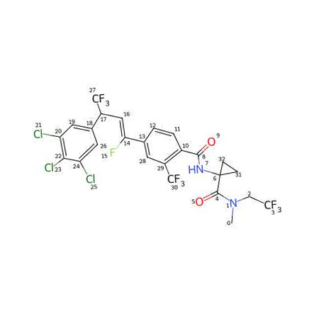 CN(CC(F)(F)F)C(=O)C1(NC(=O)c2ccc(C(F)=CC(c3cc(Cl)c(Cl)c(Cl)c3)C(F)(F)F)cc2C(F)(F)F)CC1